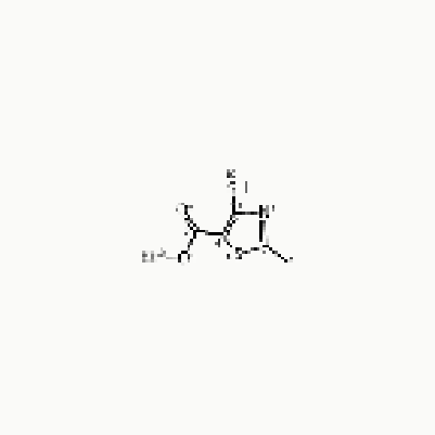 CCOC(=O)c1sc(C)nc1S